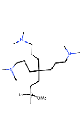 CC[Si](C)(CCC(CCCN(C)C)(CCCN(C)C)CCCN(C)C)OC